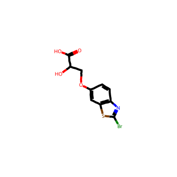 O=C(O)C(O)COc1ccc2nc(Br)sc2c1